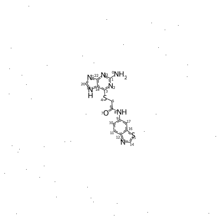 Nc1nc(SCC(=O)Nc2ccc3ncsc3c2)c2[nH]cnc2n1